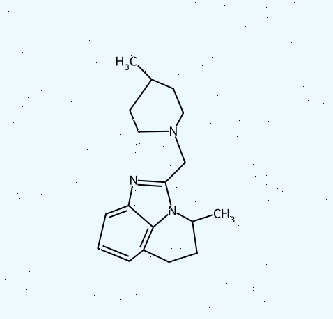 CC1CCN(Cc2nc3cccc4c3n2C(C)CC4)CC1